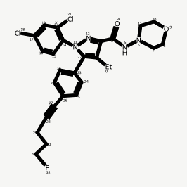 CCc1c(C(=O)NN2CCOCC2)nn(-c2ccc(Cl)cc2Cl)c1-c1ccc(C#CCCCF)cc1